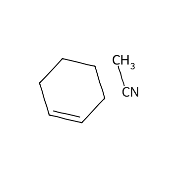 C1=CCCCC1.CC#N